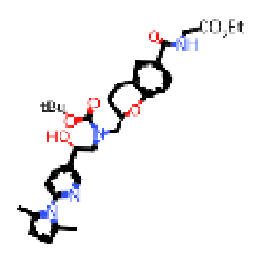 CCOC(=O)CNC(=O)c1ccc2c(c1)CC[C@H](CN(C[C@@H](O)c1ccc(-n3c(C)ccc3C)nc1)C(=O)OC(C)(C)C)O2